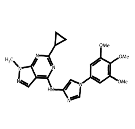 COc1cc(-n2cnc(Nc3nc(C4CC4)nc4c3cnn4C)c2)cc(OC)c1OC